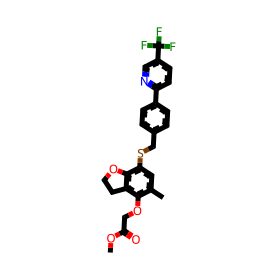 COC(=O)COc1c(C)cc(SCc2ccc(-c3ccc(C(F)(F)F)cn3)cc2)c2c1CCO2